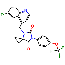 O=C1N(c2ccc(OC(F)(F)F)cc2)C(=O)C2(CC2)N1Cc1ccnc2ccc(F)cc12